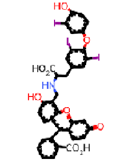 O=C(O)c1ccccc1-c1c2ccc(=O)cc-2oc2c(CNC(Cc3cc(I)c(Oc4ccc(O)c(I)c4)c(I)c3)C(=O)O)c(O)ccc12